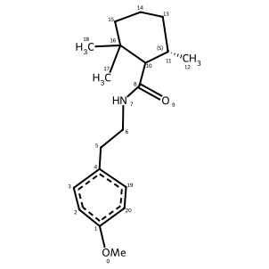 COc1ccc(CCNC(=O)C2[C@@H](C)CCCC2(C)C)cc1